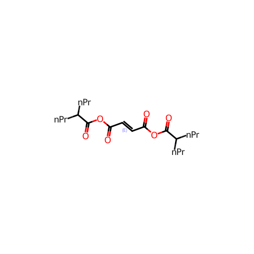 CCCC(CCC)C(=O)OC(=O)/C=C/C(=O)OC(=O)C(CCC)CCC